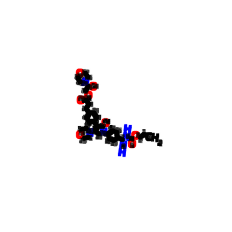 C=CCOC(=O)NC(=N)c1ccc(N2CC(N3CCOCC3)=C(c3ccc(CCC(=O)OCC(=O)N4CCOCC4)cc3)C2=O)cc1